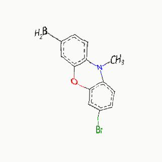 Bc1ccc2c(c1)Oc1cc(Br)ccc1N2C